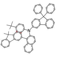 CC(C)(C)c1ccc(N(c2ccc3c(c2)-c2ccccc2C3(c2ccccc2)c2ccccc2)c2ccc3ccccc3c2-c2ccc3c(c2)-c2ccccc2C3(C)C)cc1